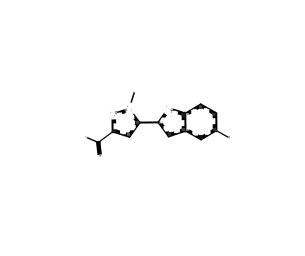 Cn1nc(C(=O)O)cc1-c1cc2cc(F)ccc2[nH]1